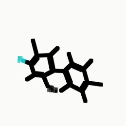 CCC(C)c1c(C)c(F)c(C)c(C)c1-c1c(C)c(C)c(C)c(C)c1C